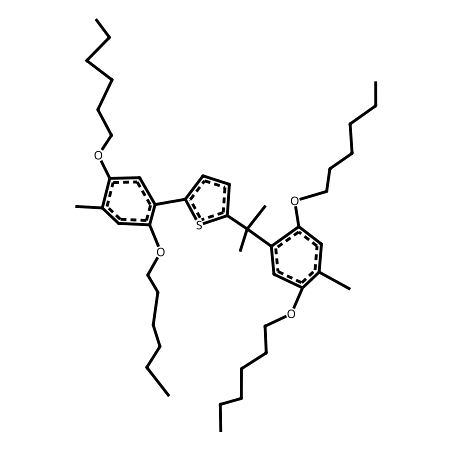 CCCCCCOc1cc(-c2ccc(C(C)(C)c3cc(OCCCCCC)c(C)cc3OCCCCCC)s2)c(OCCCCCC)cc1C